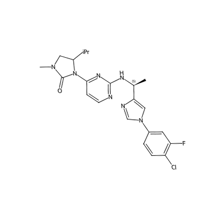 CC(C)C1CN(C)C(=O)N1c1ccnc(N[C@@H](C)c2cn(-c3ccc(Cl)c(F)c3)cn2)n1